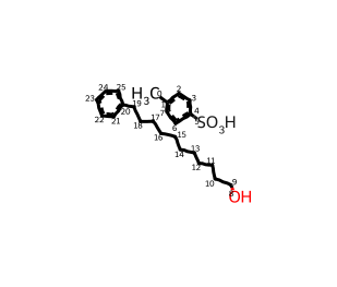 Cc1ccc(S(=O)(=O)O)cc1.OCCCCCCCCCCCc1ccccc1